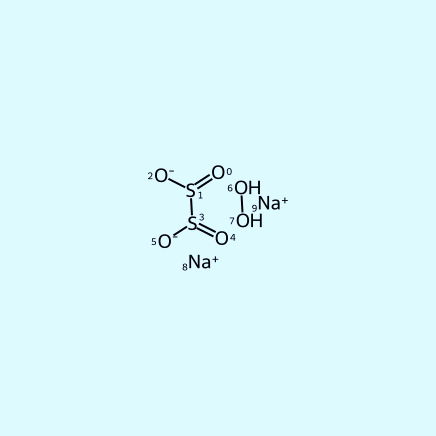 O=S([O-])S(=O)[O-].OO.[Na+].[Na+]